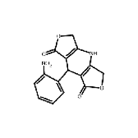 O=C1OCC2=C1C(c1ccccc1[N+](=O)[O-])C1=C(COC1=O)N2